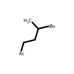 CCC(C)C(C)CCC(C)=O